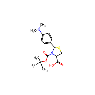 CN(C)c1ccc(C2SCC(C(=O)O)N2C(=O)OC(C)(C)C)cc1